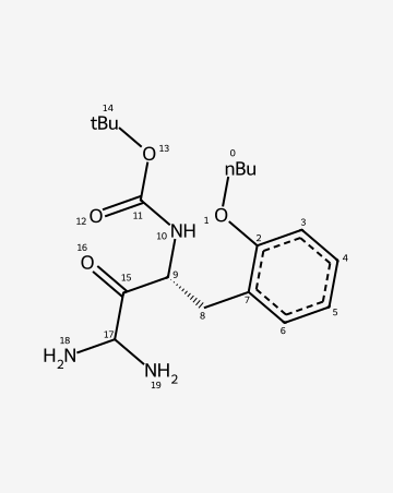 CCCCOc1ccccc1C[C@@H](NC(=O)OC(C)(C)C)C(=O)C(N)N